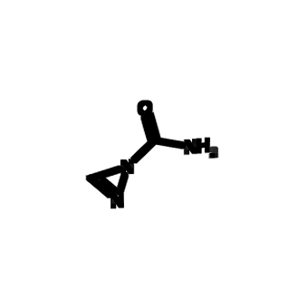 NC(=O)N1C=N1